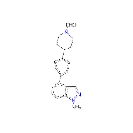 Cn1ncc2c(-c3ccc(C4CCN(C=O)CC4)cc3)cccc21